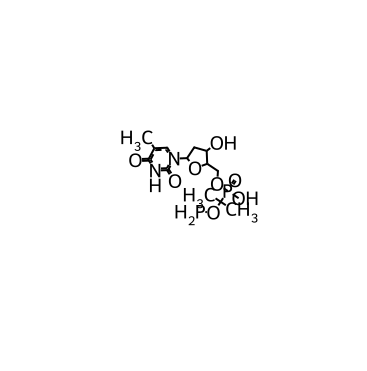 Cc1cn(C2CC(O)C(COP(=O)(O)C(C)(C)OP)O2)c(=O)[nH]c1=O